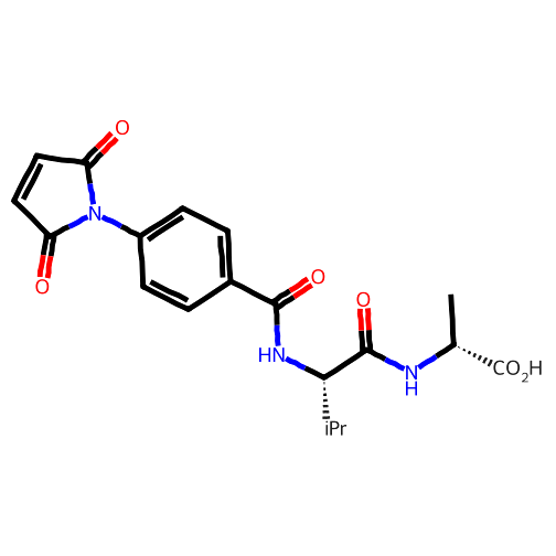 CC(C)[C@H](NC(=O)c1ccc(N2C(=O)C=CC2=O)cc1)C(=O)N[C@H](C)C(=O)O